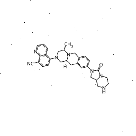 C[C@@H]1CN(c2ccc(C#N)c3ncccc23)C[C@@H]2Cc3cc(N4CC5CNCCN5C4=O)ccc3CN21